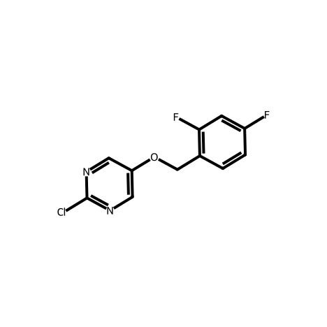 Fc1ccc(COc2cnc(Cl)nc2)c(F)c1